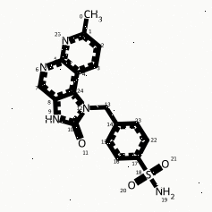 Cc1ccc2c(ncc3[nH]c(=O)n(Cc4ccc(S(N)(=O)=O)cc4)c32)n1